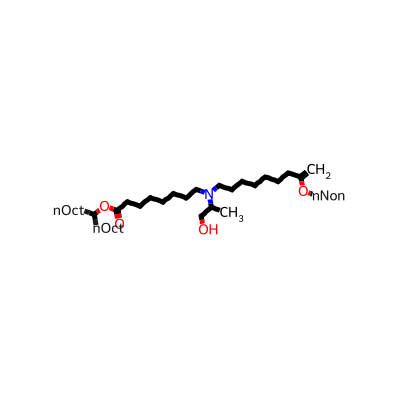 C=C(CCCCCCCN(CCCCCCCC(=O)OC(CCCCCCCC)CCCCCCCC)C(C)CO)OCCCCCCCCC